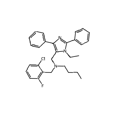 CCCCN(Cc1c(F)cccc1Cl)Cc1c(-c2ccccc2)nc(-c2ccccc2)n1CC